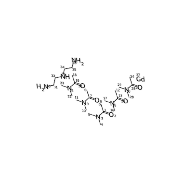 CC(=O)N(C)C.CC(=O)N(C)C.CC(=O)N(C)C.CC(=O)N(C)C.CC(=O)N(C)C.NCCNCCN.[Gd]